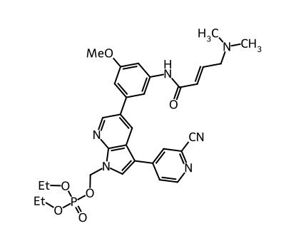 CCOP(=O)(OCC)OCn1cc(-c2ccnc(C#N)c2)c2cc(-c3cc(NC(=O)/C=C/CN(C)C)cc(OC)c3)cnc21